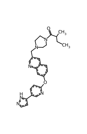 CCC(C)C(=O)N1CCN(Cc2cnc3cc(Oc4ccc(-c5ccn[nH]5)cn4)ccc3c2)CC1